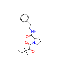 CCC(C)(C)C(=O)C(=O)N1CCCC1C(=O)NCCc1ccccc1